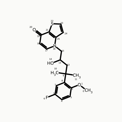 COc1ccc(F)cc1C(C)(C)CC(O)Cn1ccc(=O)c2sccc21